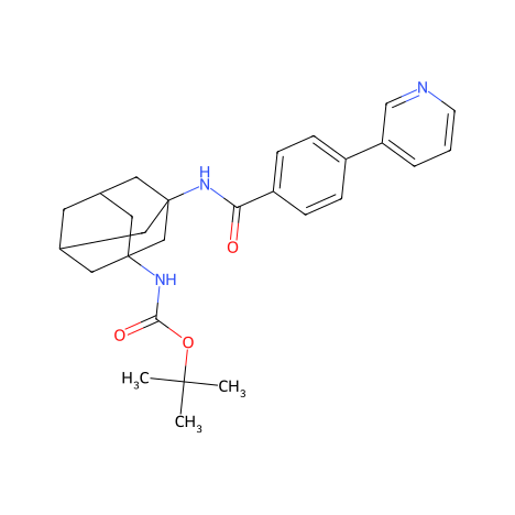 CC(C)(C)OC(=O)NC12CC3CC(C1)CC(NC(=O)c1ccc(-c4cccnc4)cc1)(C3)C2